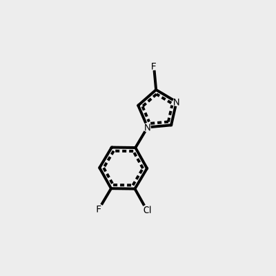 Fc1cn(-c2ccc(F)c(Cl)c2)cn1